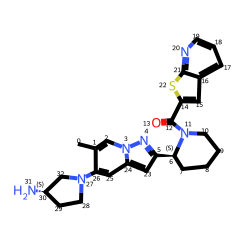 Cc1cn2nc([C@@H]3CCCCN3C(=O)c3cc4cccnc4s3)cc2cc1N1CC[C@H](N)C1